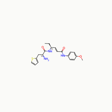 CC[C@@H](C=CC(=O)Nc1ccc(OC)cc1)NC(=O)[C@@H](N)Cc1cccs1